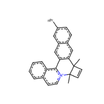 CCCc1ccc2cc3c(cc2c1)-c1c2ccccc2cc[n+]1C1(C)C=CC31C